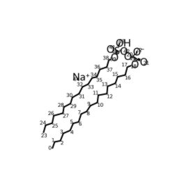 CCCCCCCCCCCCCCCCCCOS(=O)(=O)[O-].CCCCCCCCCCCCCCCCOS(=O)(=O)O.[Na+]